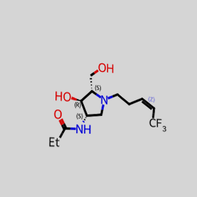 CCC(=O)N[C@H]1CN(CC/C=C\C(F)(F)F)[C@@H](CO)[C@@H]1O